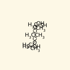 CC(C)(c1ccc(OCC(O)C(C)(C)CS)cc1)c1ccc(OC(C)(C)C(O)CS)cc1